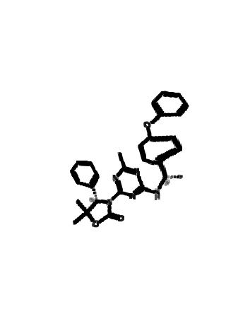 Cc1nc(N[C@@H](C)c2ccc(Oc3ccccc3)cc2)nc(N2C(=O)OC(C)(C)[C@@H]2c2ccccc2)n1